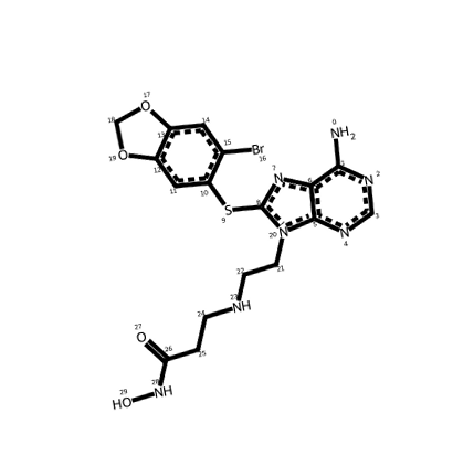 Nc1ncnc2c1nc(Sc1cc3c(cc1Br)OCO3)n2CCNCCC(=O)NO